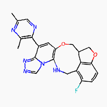 Cc1cnc(-c2cc3c(n4cnnc24)NCc2c(F)ccc4c2C(CO4)CO3)c(C)n1